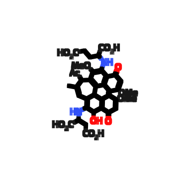 COC1=CC(=O)C2=C3C1=C1C(OC)=CC(=O)c4c(NC(CCC(=O)O)C(=O)O)c(OC)c5c(c41)C3C(=C(NC(CC(=O)O)C(=O)O)C2O)C=C(C)C5C(C)=O